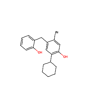 CC(C)c1cc(O)c(C2CCCCC2)cc1Cc1ccccc1O